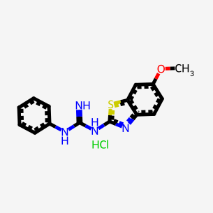 COc1ccc2nc(NC(=N)Nc3ccccc3)sc2c1.Cl